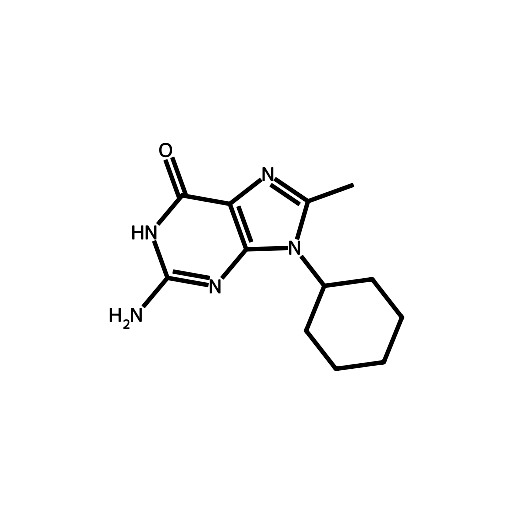 Cc1nc2c(=O)[nH]c(N)nc2n1C1CCCCC1